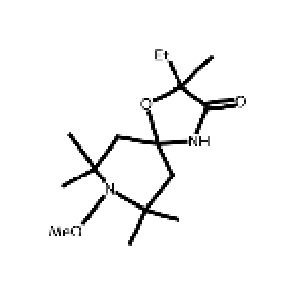 CCC1(C)OC2(CC(C)(C)N(OC)C(C)(C)C2)NC1=O